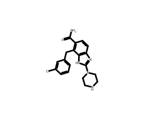 NC(=O)c1ccc2nc(N3CCNCC3)[nH]c2c1Cc1cccc(Cl)c1